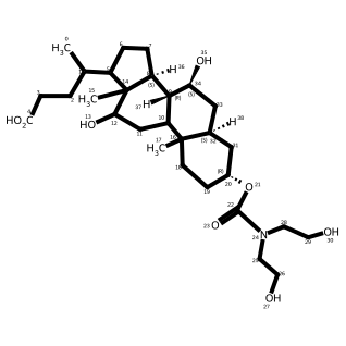 CC(CCC(=O)O)C1CC[C@H]2[C@H]3C(CC(O)C12C)C1(C)CC[C@@H](OC(=O)N(CCO)CCO)C[C@@H]1C[C@@H]3O